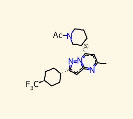 CC(=O)N1CCC[C@H](c2cc(C)nc3cc([C@H]4CC[C@H](C(F)(F)F)CC4)nn23)C1